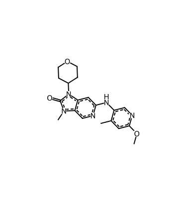 COc1cc(C)c(Nc2cc3c(cn2)n(C)c(=O)n3C2CCOCC2)cn1